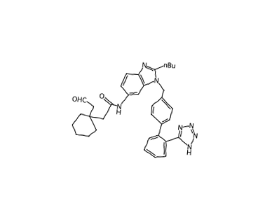 CCCCc1nc2ccc(NC(=O)CC3(CC=O)CCCCC3)cc2n1Cc1ccc(-c2ccccc2-c2nnn[nH]2)cc1